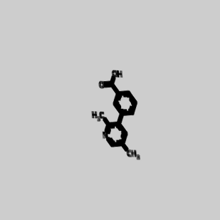 Cc1cnc(C)c(-c2cccc(C(=O)O)c2)c1